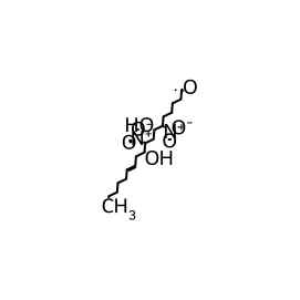 CCCCCC=CCC(O)C(CC(O)C(CCCC[C]=O)[N+](=O)[O-])[N+](=O)[O-]